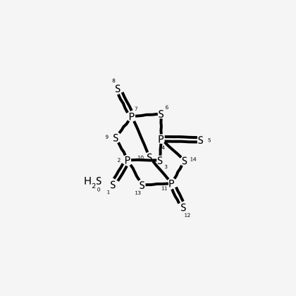 S.S=P12SP3(=S)SP(=S)(S1)SP(=S)(S2)S3